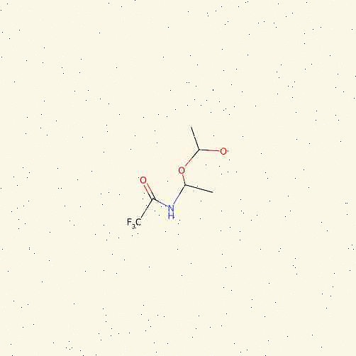 CC([O])OC(C)NC(=O)C(F)(F)F